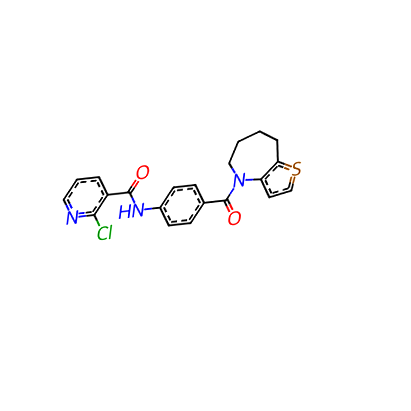 O=C(Nc1ccc(C(=O)N2CCCCc3sccc32)cc1)c1cccnc1Cl